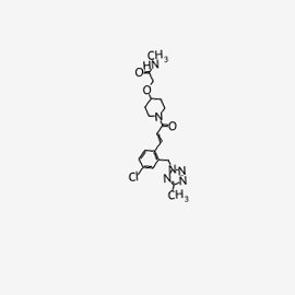 CNC(=O)COC1CCN(C(=O)/C=C/c2ccc(Cl)cc2Cn2nnc(C)n2)CC1